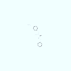 COc1ccc(CC(NC(=O)O)C(=O)NNc2ccccc2)cc1